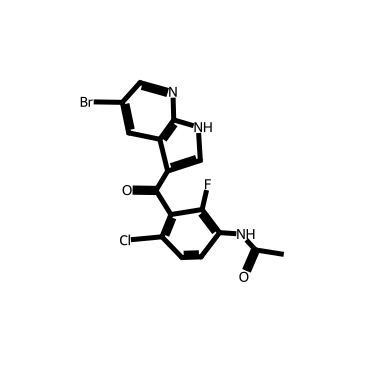 CC(=O)Nc1ccc(Cl)c(C(=O)c2c[nH]c3ncc(Br)cc23)c1F